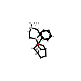 O=C(O)N1CCN(C2CC3CCC(C2)N3Cc2ccccc2)CC1